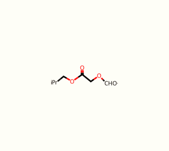 CC(C)COC(=O)CO[C]=O